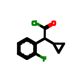 O=C(Cl)C(c1ccccc1F)C1CC1